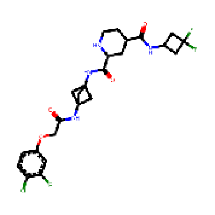 O=C(COc1ccc(Cl)c(F)c1)NC12CC(NC(=O)C3CC(C(=O)NC4CC(F)(F)C4)CCN3)(C1)C2